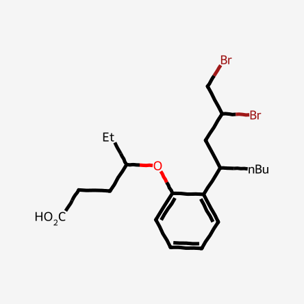 CCCCC(CC(Br)CBr)c1ccccc1OC(CC)CCC(=O)O